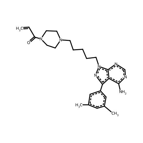 C=CC(=O)N1CCN(CCCCCn2nc(-c3cc(C)cc(C)c3)c3c(N)ncnc32)CC1